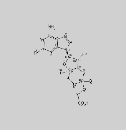 Nc1nc(Cl)nc2c1ncn2[C@@H]1O[C@@H]2COP(=O)(OCC(=O)O)OC2[C@H]1F